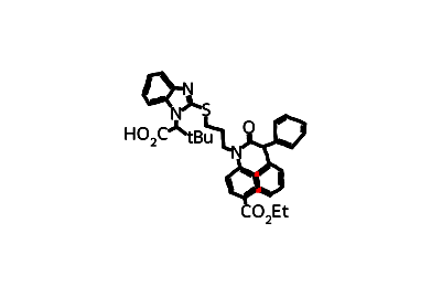 CCOC(=O)c1ccc(N(CCCSc2nc3ccccc3n2C(C(=O)O)C(C)(C)C)C(=O)C(c2ccccc2)c2ccccc2)cc1